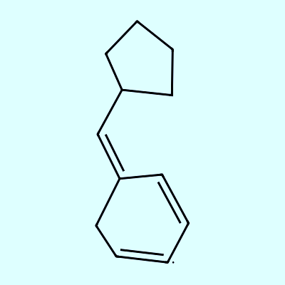 [C]1=CCC(=CC2CCCC2)C=C1